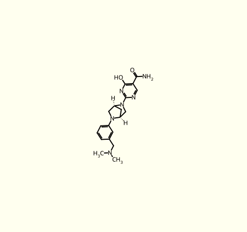 CN(C)Cc1cccc(N2C[C@@H]3C[C@H]2CN3c2ncc(C(N)=O)c(O)n2)c1